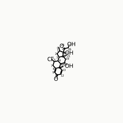 CC1CC2C3C(Cl)CC4=CC(=O)C=CC4(C)C3C(O)CC2(C)C1(O)C(=O)CO